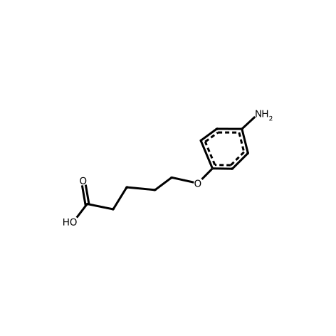 Nc1ccc(OCCCCC(=O)O)cc1